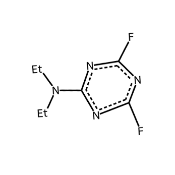 CCN(CC)c1nc(F)nc(F)n1